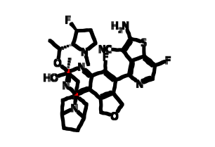 CC(Oc1nc(N2C3CCC2CN(C[C@@H](C)O)C3)c2c3c(c(-c4ncc(F)c5sc(N)c(C#N)c45)c(F)c2n1)COC3)[C@@H]1[C@@H](F)CCN1C